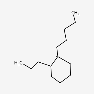 CCCCC[C]1CCCCC1CCC